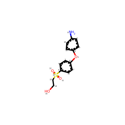 Nc1ccc(Oc2ccc(S(=O)(=O)CCO)cc2)cc1